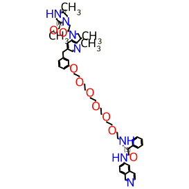 COC[C@H]1CN[C@H](C)CN1CC(=O)N1CC(C)(C)c2ncc(Cc3cccc(OCCOCCOCCOCCOCCOCCNC[C@@H](C(=O)Nc4ccc5cnccc5c4)c4ccccc4)c3)cc21